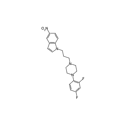 O=[N+]([O-])c1ccc2c(ccn2CCCN2CCN(c3ccc(F)cc3F)CC2)c1